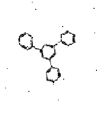 [c]1ccc(-c2cc(-c3ccccc3)cc(-c3ccccc3)c2)cc1